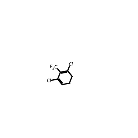 FC(F)(F)C1=C(Cl)C[CH]C=C1Cl